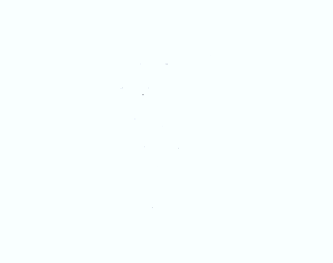 CCC[CH2][Sn]([CH3])([O]C)[O][Sn]([CH3])([CH2]CCC)[O]C